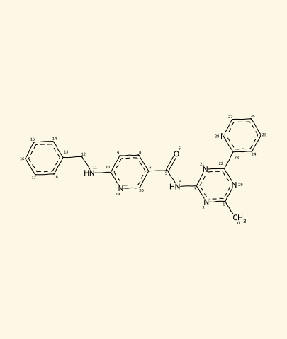 Cc1nc(NC(=O)c2ccc(NCc3ccccc3)nc2)nc(-c2ccccn2)n1